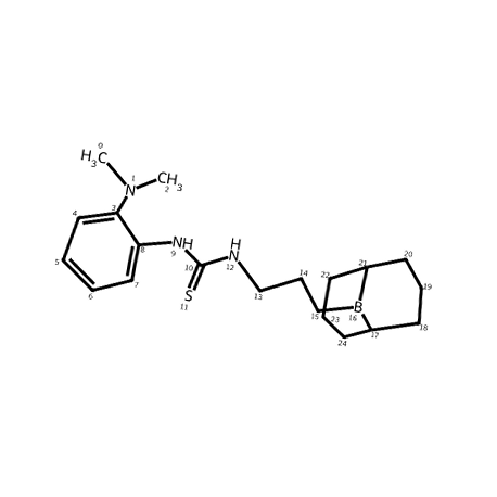 CN(C)c1ccccc1NC(=S)NCCCB1C2CCCC1CCC2